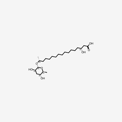 C[C@H](CCCCCCCCCCCC[C@@H](O)CC(=O)O)O[C@@H]1O[C@@H](C)[C@H](O)C[C@H]1O